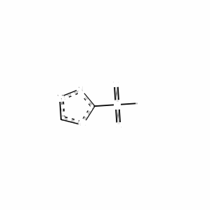 CS(=O)(=O)c1nnco1